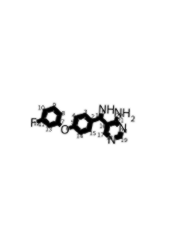 N=C(c1ccc(Oc2cccc(F)c2)cc1)c1cncnc1N